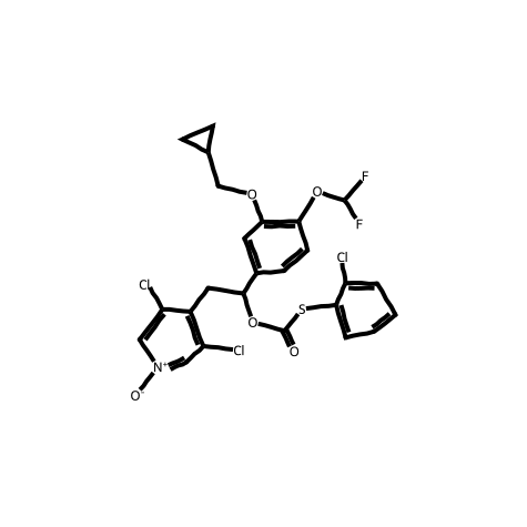 O=C(OC(Cc1c(Cl)c[n+]([O-])cc1Cl)c1ccc(OC(F)F)c(OCC2CC2)c1)Sc1ccccc1Cl